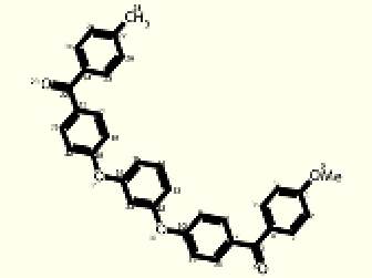 COc1ccc(C(=O)c2ccc(Oc3cccc(Oc4ccc(C(=O)c5ccc(C)cc5)cc4)c3)cc2)cc1